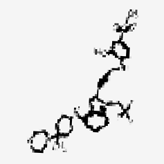 CC1(N2CCOCC2)CCC(Nc2cccc3c2cc(C#CCNc2ccc(S(C)(=O)=O)cc2O)n3CC(F)(F)F)CC1